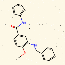 COc1ccc(C(=O)Nc2ccccc2)cc1NCc1ccccc1